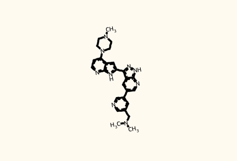 CN(C)Cc1cncc(-c2cnc3[nH]nc(-c4cc5c(N6CCN(C)CC6)ccnc5[nH]4)c3c2)c1